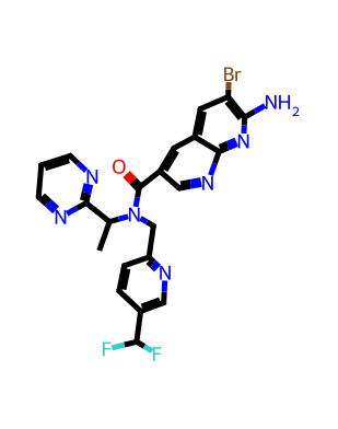 CC(c1ncccn1)N(Cc1ccc(C(F)F)cn1)C(=O)c1cnc2nc(N)c(Br)cc2c1